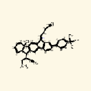 CCC(C#N)C1c2cc3c(cc2C2(C)C=CC=CC12)/C(=C/CCC#N)c1cc(-c2ccc(C(F)(F)F)cc2)ccc1-3